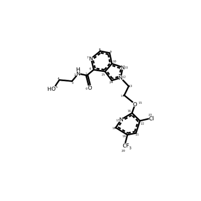 O=C(NCCO)c1nccc2nn(CCOc3ncc(C(F)(F)F)cc3Cl)cc12